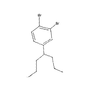 [CH2]CCC(CCC)c1ccc(Br)c(Br)c1